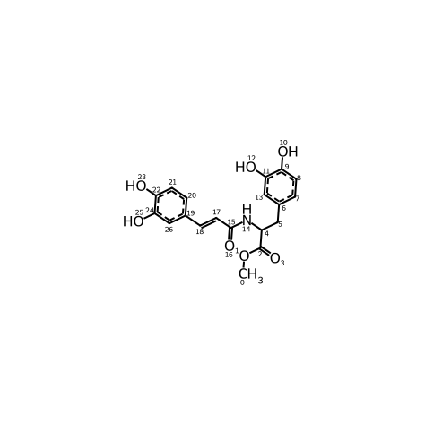 COC(=O)C(Cc1ccc(O)c(O)c1)NC(=O)C=Cc1ccc(O)c(O)c1